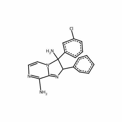 NC1=NC=CN2C1=NC(c1ccccc1)C2(N)c1cccc(Cl)c1